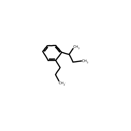 [CH2]CCc1ccccc1C(C)CC